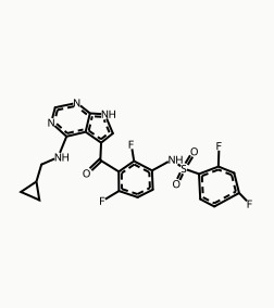 O=C(c1c(F)ccc(NS(=O)(=O)c2ccc(F)cc2F)c1F)c1c[nH]c2ncnc(NCC3CC3)c12